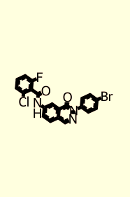 O=C(Nc1ccc2cnn(-c3ccc(Br)cc3)c(=O)c2c1)c1c(F)cccc1Cl